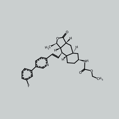 CCOC(=O)N[C@H]1CC[C@H]2[C@H](C1)C[C@H]1C(=O)O[C@H](C)[C@H]1[C@@H]2/C=C/c1ccc(-c2cccc(F)c2)cn1